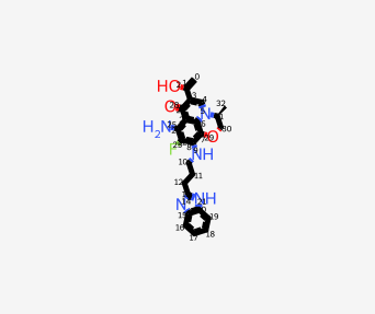 C=C(O)c1cn2c3c(c(NCCCc4nc5ccccc5[nH]4)c(F)c(N)c3c1=O)OC[C@@H]2C